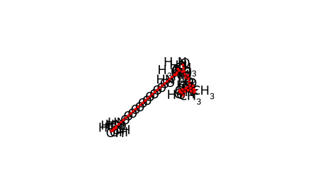 CC[C@@]1(O)C(=O)OCc2c1cc1n(c2=O)Cc2c-1nc1cc(F)c(C)c3c1c2[C@@H](NC(=O)OCc1ccc(NC(=O)[C@H](CCCNC(N)=O)NC(=O)[C@@H](NC(=O)[C@@H](N)CCCCNC(=O)CCOCCOCCOCCOCCOCCOCCOCCOCCOCCOCCOCCOCCNC(=O)NC[C@H](O)[C@@H](O)[C@H](O)[C@H](O)CO)C(C)C)cc1)CC3